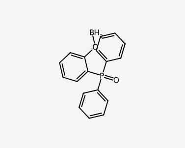 BOc1ccccc1P(=O)(c1ccccc1)c1ccccc1